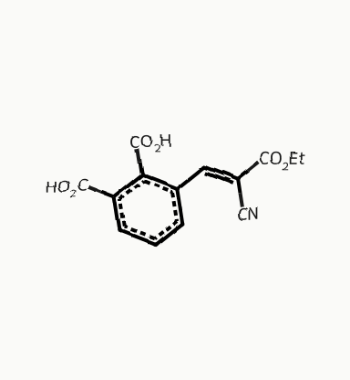 CCOC(=O)/C(C#N)=C/c1cccc(C(=O)O)c1C(=O)O